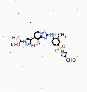 CCOc1c(-c2cnn(C(C)OCC)c2)ccn2nc(Nc3ccc(S(=O)(=O)N4CC(C=O)C4)cc3C)nc12